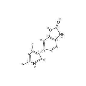 Cc1cc(C)c(-c2ccc3[nH]c(=O)oc3c2)cn1